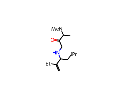 C=C(CC)C(CC(C)C)NCC(=O)C(C)NC